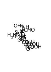 Nc1nc(/C(=N/O[C@H](C=O)CNC=O)C(=O)N[C@@H]2C(=O)N3C(C(=O)O)=C(C[N@@+]45CC[C@@H](C4)N(C(=O)c4ccc(O)c(O)c4Cl)CC5)CS[C@H]23)cs1